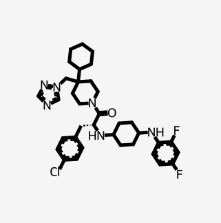 O=C([C@@H](Cc1ccc(Cl)cc1)NC1CCC(Nc2ccc(F)cc2F)CC1)N1CCC(Cn2cncn2)(C2CCCCC2)CC1